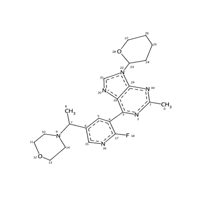 Cc1nc(-c2cc(C(C)N3CCOCC3)cnc2F)c2ncn(C3CCCCO3)c2n1